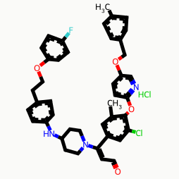 Cc1ccc(COc2ccc(Oc3c(C)cc(/C(=C\C=O)N4CCC(Nc5ccc(CCOc6ccc(F)cc6)cc5)CC4)cc3Cl)nc2)cc1.Cl